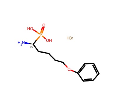 Br.N[C@H](CCCCOc1ccccc1)P(=O)(O)O